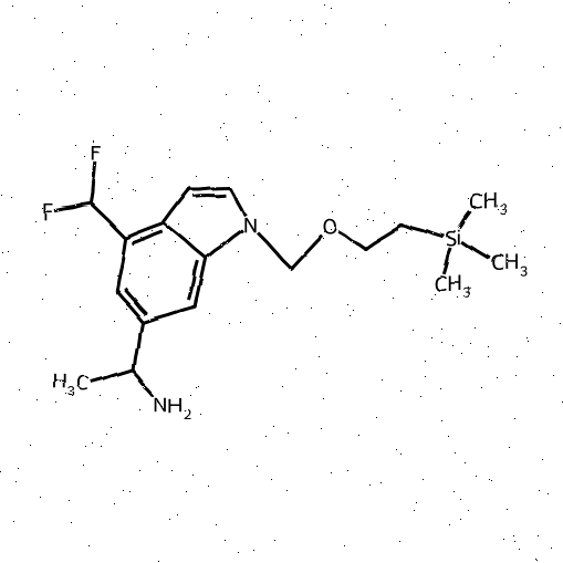 CC(N)c1cc(C(F)F)c2ccn(COCC[Si](C)(C)C)c2c1